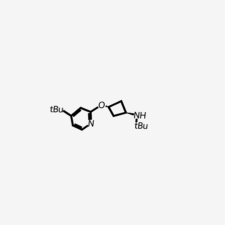 CC(C)(C)N[C@H]1C[C@H](Oc2cc(C(C)(C)C)ccn2)C1